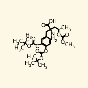 COC(=O)O[C@@H](C)CC(N)(Cc1ccc(OC(=O)OC(C)(C)C)c(OC(=O)OC(C)(C)C)c1)C(=O)O